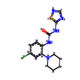 O=C(Nc1ncns1)Nc1ccc(F)cc1N1CCCCC1